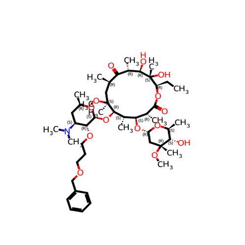 CC[C@H]1OC(=O)[C@H](C)[C@@H](O[C@H]2C[C@@](C)(OC)[C@@H](O)[C@H](C)O2)[C@H](C)[C@@H](O[C@@H]2O[C@H](C)C[C@H](N(C)C)[C@H]2OCCCOCc2ccccc2)[C@@](C)(OC)C[C@@H](C)C(=O)[C@H](C)[C@@H](O)[C@]1(C)O